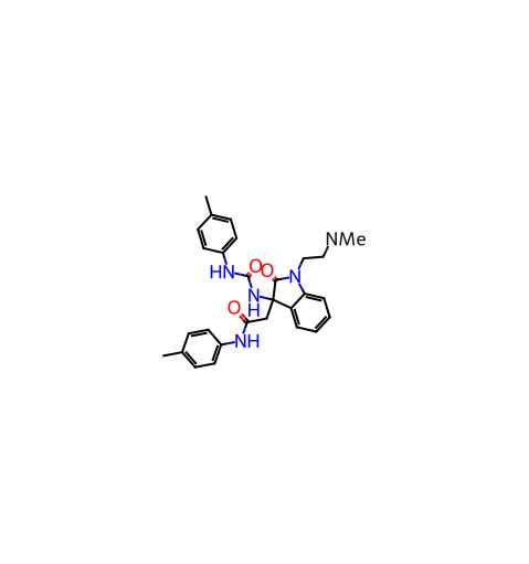 CNCCN1C(=O)C(CC(=O)Nc2ccc(C)cc2)(NC(=O)Nc2ccc(C)cc2)c2ccccc21